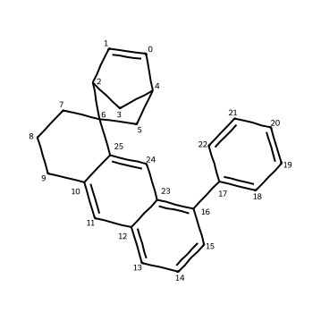 C1=CC2CC1CC21CCCc2cc3cccc(-c4ccccc4)c3cc21